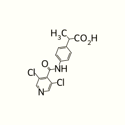 CC(C(=O)O)c1ccc(NC(=O)c2c(Cl)cncc2Cl)cc1